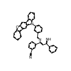 N#Cc1cccc(C(=C/C(=N)c2ccccc2)/N=C/c2cccc(-n3c4ccccc4c4cc5oc6ccccc6c5cc43)c2)c1